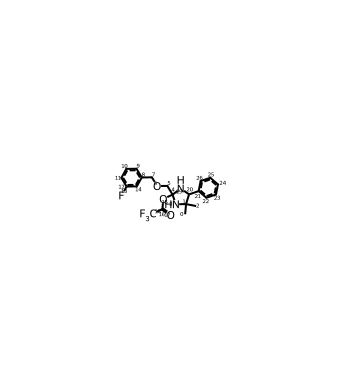 CC1(C)NC(COCc2cccc(F)c2)(OC(=O)C(F)(F)F)NC1c1ccccc1